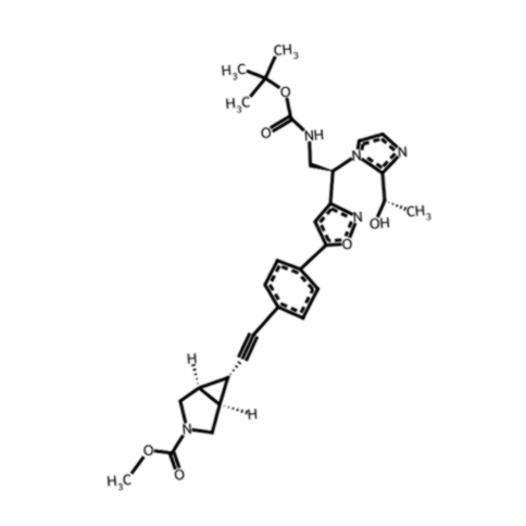 COC(=O)N1C[C@@H]2[C@@H](C#Cc3ccc(-c4cc([C@@H](CNC(=O)OC(C)(C)C)n5ccnc5[C@H](C)O)no4)cc3)[C@@H]2C1